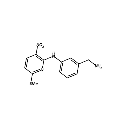 CSc1ccc([N+](=O)[O-])c(Nc2cccc(CN)c2)n1